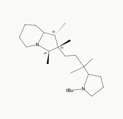 C[C@H]1C2CCCCN2[C@H](C)[C@@]1(C)CCC(C)(C)C1CCCN1C(C)(C)C